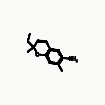 CCC1(C)C=Cc2cc(N)c(C)cc2O1